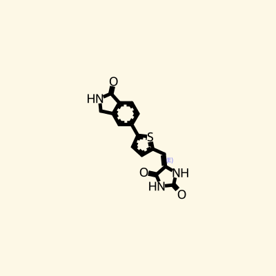 O=C1NC(=O)/C(=C\c2ccc(-c3ccc4c(c3)CNC4=O)s2)N1